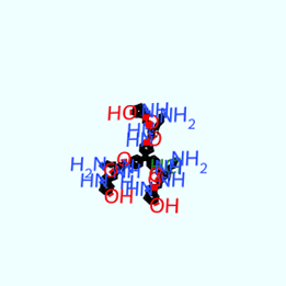 Cl.NCCCC[C@H](NC(=O)Cc1c[nH]c2ccc(O)cc12)C(=O)Nc1ccc(C(c2ccc(NC(=O)[C@H](CCCCN)NC(=O)Cc3c[nH]c4ccc(O)cc34)cc2)c2ccc(NC(=O)[C@H](CCCCN)NC(=O)Cc3c[nH]c4ccc(O)cc34)cc2)cc1